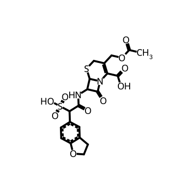 CC(=O)OCC1=C(C(=O)O)N2C(=O)C(NC(=O)C(c3ccc4c(c3)CCO4)S(=O)(=O)O)C2SC1